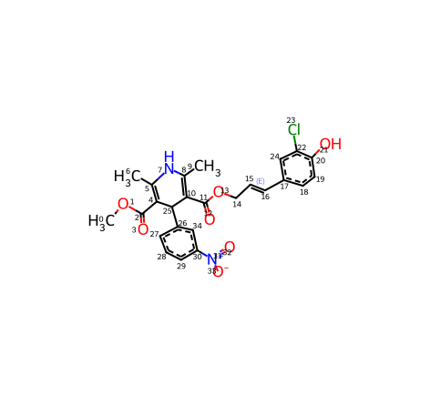 COC(=O)C1=C(C)NC(C)=C(C(=O)OC/C=C/c2ccc(O)c(Cl)c2)C1c1cccc([N+](=O)[O-])c1